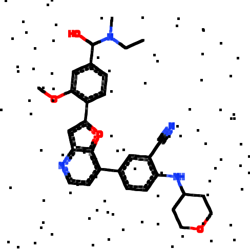 CCN(C)C(O)c1ccc(-c2cc3nccc(-c4ccc(NC5CCOCC5)c(C#N)c4)c3o2)c(OC)c1